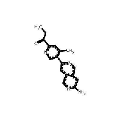 CCC(=O)c1cc(C)c(-c2cc3cnc(N)cc3cn2)cn1